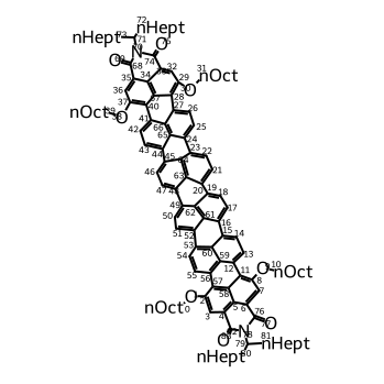 CCCCCCCCOc1cc2c3c(cc(OCCCCCCCC)c4c5ccc6c7ccc8c9ccc%10c%11ccc%12c%13c(OCCCCCCCC)cc%14c%15c(cc(OCCCCCCCC)c(c%16ccc(c%17ccc(c%18ccc(c%19ccc(c1c34)c5c%196)c7c%188)c9c%17%10)c%11c%16%12)c%15%13)C(=O)N(C(CCCCCCC)CCCCCCC)C%14=O)C(=O)N(C(CCCCCCC)CCCCCCC)C2=O